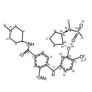 COc1cc(C(=O)NC2CCN(C)CC2)ccc1Nc1ncc(C(F)(F)F)c(O[C@@H]2CCC[C@H]2N(C)S(C)(=O)=O)n1